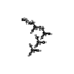 [Ba+2].[K+].[Na+].[O]=[Nb](=[O])[O-].[O]=[Nb](=[O])[O-].[O]=[Nb](=[O])[O-].[O]=[Nb](=[O])[O-]